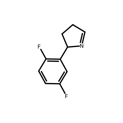 Fc1ccc(F)c(C2CCC=N2)c1